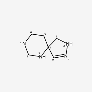 C1=NNCC12CC[N]CN2